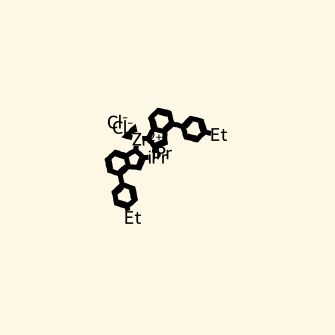 CCc1ccc(-c2cccc3c2C=C(C(C)C)[CH]3[Zr+2]2([CH]3C(C(C)C)=Cc4c(-c5ccc(CC)cc5)cccc43)[CH2][CH2]2)cc1.[Cl-].[Cl-]